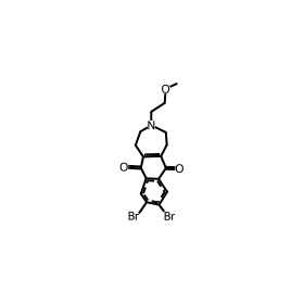 COCCN1CCC2=C(CC1)C(=O)c1cc(Br)c(Br)cc1C2=O